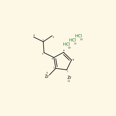 CC(C)CC1=[C]([Zr])CC=C1.Cl.Cl.Cl.[Zr]